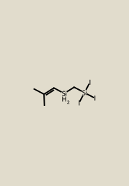 CC(C)=C[SiH2]C[Si](I)(I)I